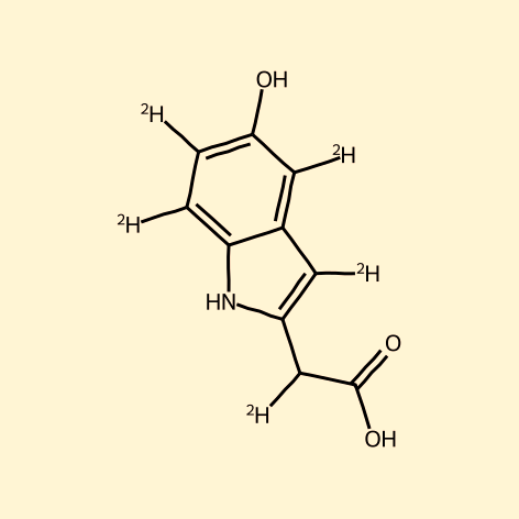 [2H]c1c(O)c([2H])c2c([2H])c(C([2H])C(=O)O)[nH]c2c1[2H]